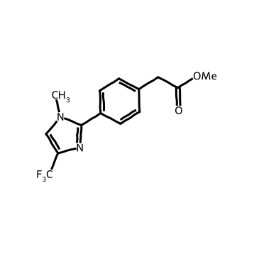 COC(=O)Cc1ccc(-c2nc(C(F)(F)F)cn2C)cc1